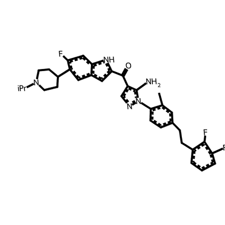 Cc1cc(CCc2cccc(F)c2F)ccc1-n1ncc(C(=O)c2cc3cc(C4CCN(C(C)C)CC4)c(F)cc3[nH]2)c1N